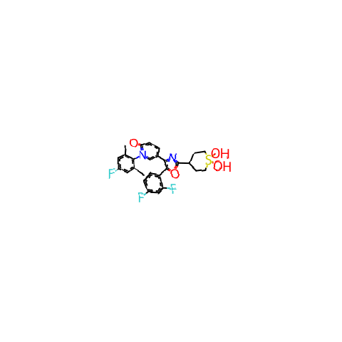 Cc1cc(F)cc(C)c1-n1cc(-c2nc(C3CCS(O)(O)CC3)oc2-c2ccc(F)cc2F)ccc1=O